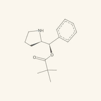 CC(C)(C)C(=O)O[C@H](c1ccccc1)[C@H]1CCCN1